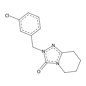 O=c1n(Cc2cccc(Cl)c2)nc2n1CCCC2